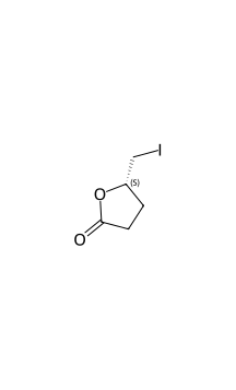 O=C1CC[C@@H](CI)O1